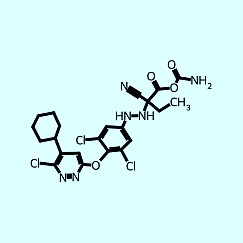 CCC(C#N)(NNc1cc(Cl)c(Oc2cc(C3CCCCC3)c(Cl)nn2)c(Cl)c1)C(=O)OC(N)=O